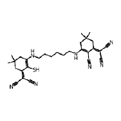 CC1(C)CC(NCCCCCCNC2=C(C#N)C(=C(C#N)C#N)CC(C)(C)C2)=C(S)C(=C(C#N)C#N)C1